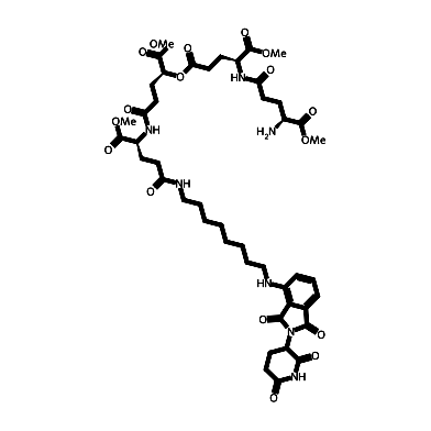 COC(=O)[C@H](CCC(=O)NCCCCCCCCNc1cccc2c1C(=O)N(C1CCC(=O)NC1=O)C2=O)NC(=O)CC[C@H](OC(=O)CC[C@H](NC(=O)CC[C@H](N)C(=O)OC)C(=O)OC)C(=O)OC